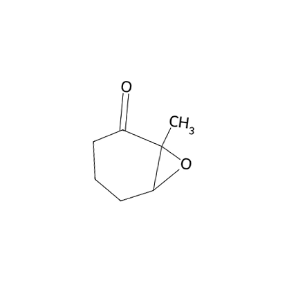 CC12OC1CCCC2=O